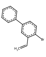 C=Cc1cc(-c2ccccc2)ccc1Br